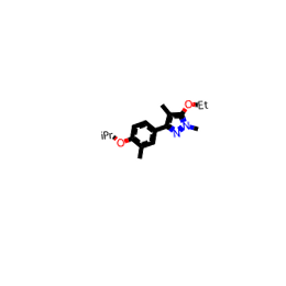 CCOc1c(C)c(-c2ccc(OC(C)C)c(C)c2)nn1C